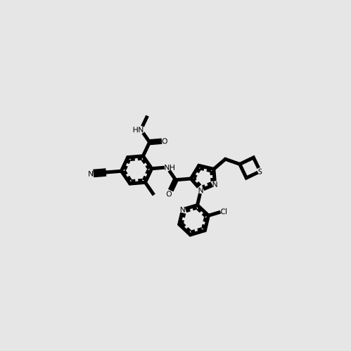 CNC(=O)c1cc(C#N)cc(C)c1NC(=O)c1cc(CC2CSC2)nn1-c1ncccc1Cl